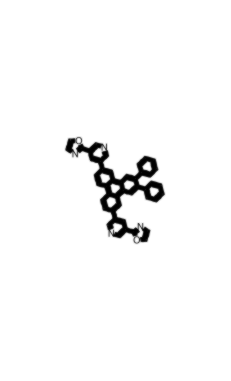 c1ccc(-c2cc3c4cc(-c5cncc(-c6ncco6)c5)ccc4c4ccc(-c5cncc(-c6ncco6)c5)cc4c3cc2-c2ccccc2)cc1